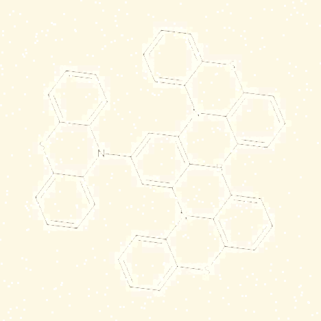 c1ccc2c(c1)Sc1ccccc1N2c1cc2c3c(c1)N1c4ccccc4Sc4cccc(c41)B3c1cccc3c1N2c1ccccc1S3